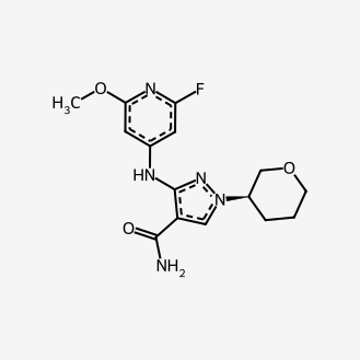 COc1cc(Nc2nn([C@@H]3CCCOC3)cc2C(N)=O)cc(F)n1